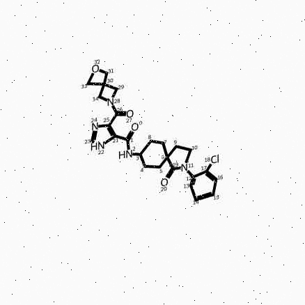 O=C(NC1CCC2(CC1)CCN(c1ccccc1Cl)C2=O)c1[nH]cnc1C(=O)N1CC2(COC2)C1